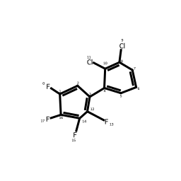 Fc1cc(-c2cccc(Cl)c2Cl)c(F)c(F)c1F